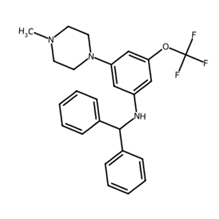 CN1CCN(c2cc(NC(c3ccccc3)c3ccccc3)cc(OC(F)(F)F)c2)CC1